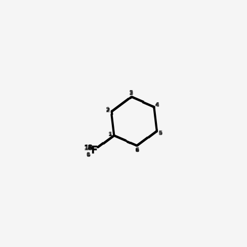 [18F]C1CCCCC1